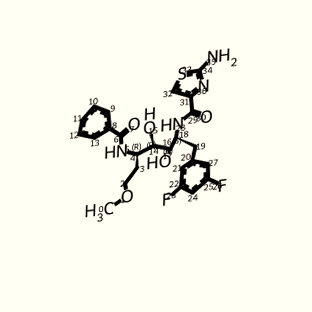 COCC[C@@H](NC(=O)c1ccccc1)[C@@H](O)[C@H](O)[C@H](Cc1cc(F)cc(F)c1)NC(=O)c1csc(N)n1